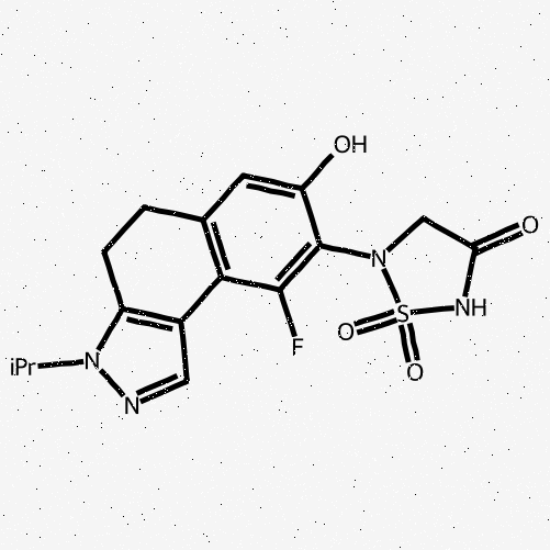 CC(C)n1ncc2c1CCc1cc(O)c(N3CC(=O)NS3(=O)=O)c(F)c1-2